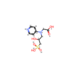 O=C(O)CN(CC(O)CS(=O)(=O)O)c1ccncc1